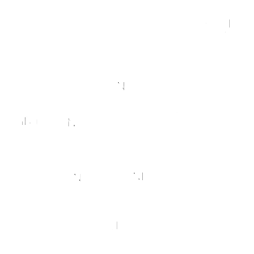 CCCCn1c(=O)n(CCCC(=O)O)c(=O)c2[nH]c(C(F)(F)F)nc21